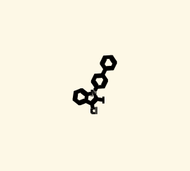 Clc1c(I)n(-c2ccc(-c3ccccc3)cc2)c2ccccc12